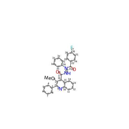 COc1c(-c2ccccc2)nc2ccccc2c1C(=O)NN(C(=O)c1ccc(F)cc1)c1ccccc1